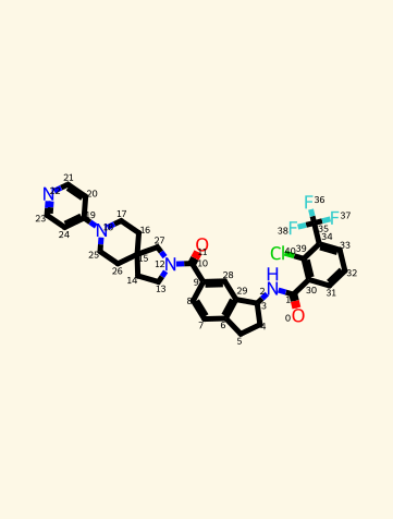 O=C(NC1CCc2ccc(C(=O)N3CCC4(CCN(c5ccncc5)CC4)C3)cc21)c1cccc(C(F)(F)F)c1Cl